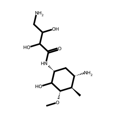 CO[C@@H]1C(O)[C@H](NC(=O)C(O)C(O)CN)C[C@H](N)[C@H]1C